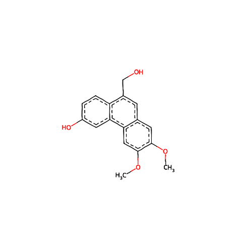 COc1cc2cc(CO)c3ccc(O)cc3c2cc1OC